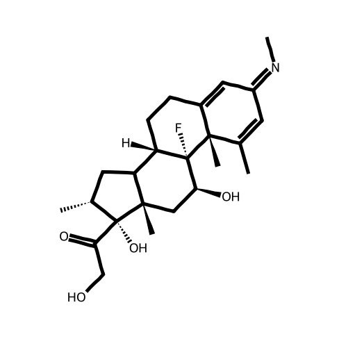 C/N=C1/C=C(C)[C@@]2(C)C(=C1)CC[C@H]1C3C[C@@H](C)[C@](O)(C(=O)CO)[C@@]3(C)C[C@H](O)[C@@]12F